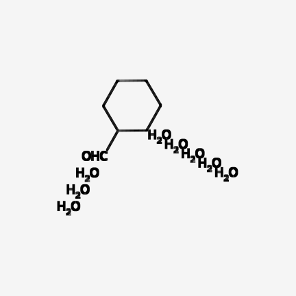 O.O.O.O.O.O.O.O.O=CC1CCCCC1